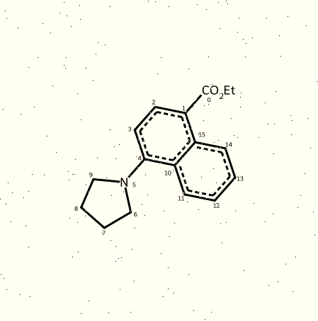 CCOC(=O)c1ccc(N2CCCC2)c2ccccc12